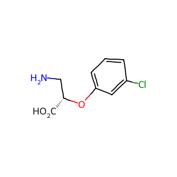 NC[C@H](Oc1cccc(Cl)c1)C(=O)O